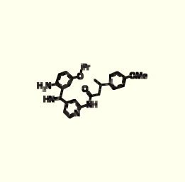 COc1ccc(C(C)CC(=O)Nc2cc(C(=N)c3cc(OC(C)C)ccc3N)ccn2)cc1